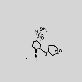 O.O.O.O.O.O=C=C1CCCCC1NC1CCCCC1